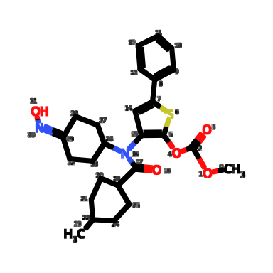 COC(=O)Oc1sc(-c2ccccc2)cc1N(C(=O)C1CCC(C)CC1)C1CCC(=NO)CC1